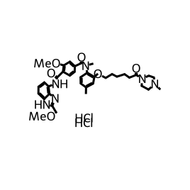 COCc1nc2c(NC(=O)c3ccc(C(=O)N(C)c4ccc(C)cc4OCCCCCC(=O)N4CCN(C)CC4)cc3OC)cccc2[nH]1.Cl.Cl